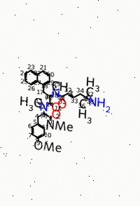 CNC(=O)[C@@H](Cc1ccc(OC)cc1)N(C)C(=O)[C@@H](Cc1cccc2ccccc12)N(C)C(=O)C=CCC(C)(C)N